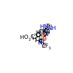 CCOc1cc(C(CC(=O)O)Cc2cc(OCCc3ccc4c(n3)NCCN4)n(CC(F)(F)F)n2)ccc1C